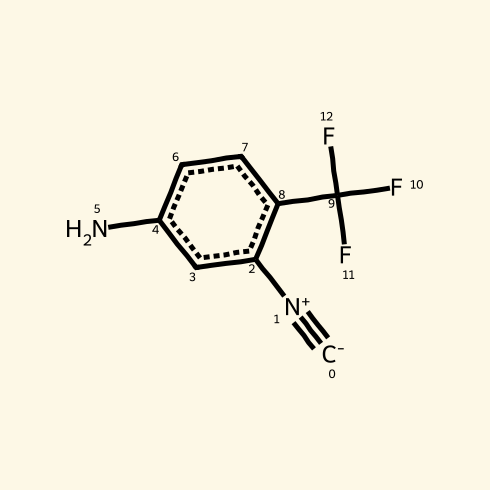 [C-]#[N+]c1cc(N)ccc1C(F)(F)F